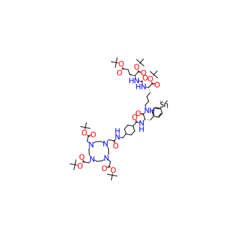 CC(C)(C)OC(=O)CC[C@H](NC(=O)N[C@@H](CCCCNC(=O)[C@H](Cc1cc[c]([Sn]([CH3])([CH3])[CH3])cc1)NC(=O)C1CCC(CNC(=O)CN2CCN(CC(=O)OC(C)(C)C)CCN(CC(=O)OC(C)(C)C)CCN(CC(=O)OC(C)(C)C)CC2)CC1)C(=O)OC(C)(C)C)C(=O)OC(C)(C)C